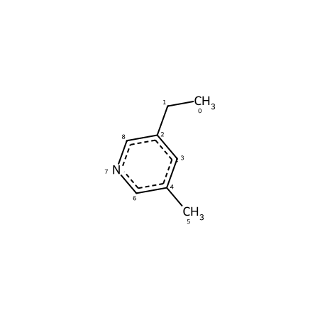 CCc1[c]c(C)cnc1